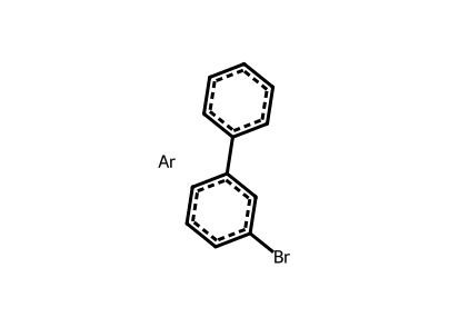 Brc1cccc(-c2ccccc2)c1.[Ar]